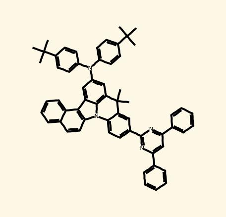 CC(C)(C)c1ccc(N(c2ccc(C(C)(C)C)cc2)c2cc3c4c(c2)c2c5ccccc5ccc2n4-c2ccc(-c4nc(-c5ccccc5)cc(-c5ccccc5)n4)cc2C3(C)C)cc1